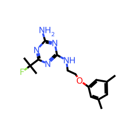 Cc1cc(C)cc(OCCNc2nc(N)nc(C(C)(C)F)n2)c1